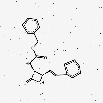 O=C(N[C@@H]1C(=O)N[C@@H]1C=Cc1ccccc1)OCc1ccccc1